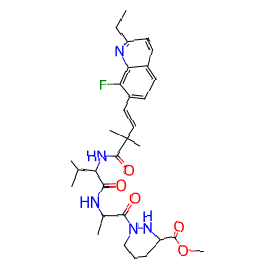 CCc1ccc2ccc(/C=C/C(C)(C)C(=O)NC(C(=O)NC(C)C(=O)N3CCCC(C(=O)OC)N3)C(C)C)c(F)c2n1